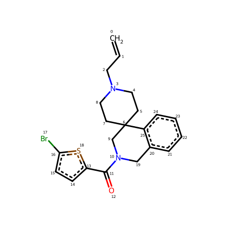 C=CCN1CCC2(CC1)CN(C(=O)c1ccc(Br)s1)Cc1ccccc12